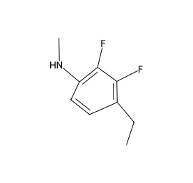 CCc1ccc(NC)c(F)c1F